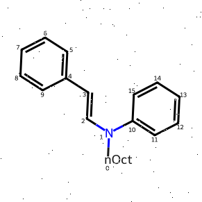 CCCCCCCCN(C=Cc1ccccc1)c1ccccc1